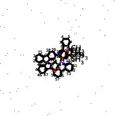 CC1(C)c2ccccc2-c2ccc(N(c3ccc4c(c3)C3(c5ccccc5-c5ccc(-c6ccc([Si](C)(C)C)cc6)cc53)c3ccccc3-4)c3ccccc3-c3ccccc3)cc21